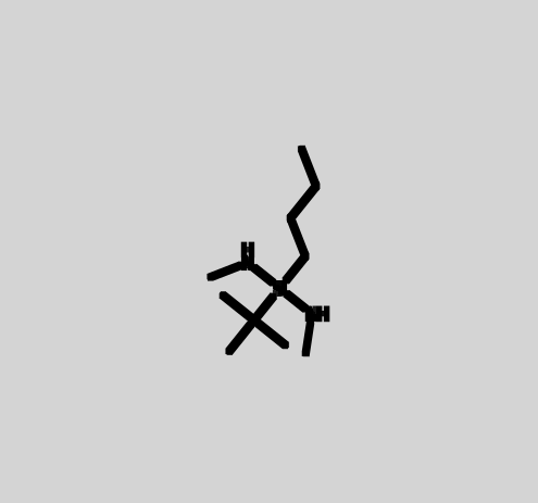 CCCC[Si](NC)(NC)C(C)(C)C